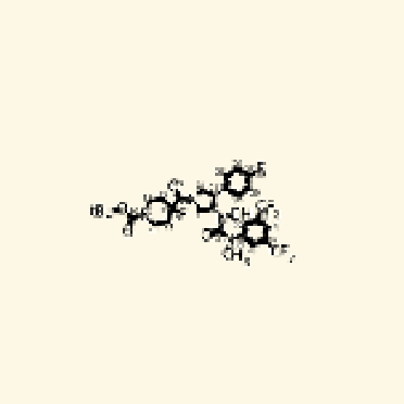 CN(C(=O)N(C)[C@@H]1CN(C(=O)C2(F)CCN(C(=O)OC(C)(C)C)CC2)C[C@H]1c1ccc(F)cc1)c1cc(C(F)(F)F)cc(C(F)(F)F)c1